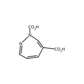 O=C(O)C1=CN(C(=O)O)N=CC=C1